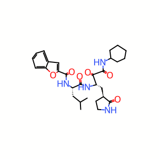 CC(C)C[C@H](NC(=O)c1cc2ccccc2o1)C(=O)N[C@@H](C[C@@H]1CCNC1=O)C(=O)C(=O)NC1CCCCC1